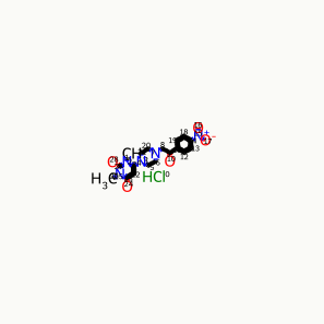 Cl.Cn1c(N2CCN(CC(=O)c3ccc([N+](=O)[O-])cc3)CC2)cc(=O)n(C)c1=O